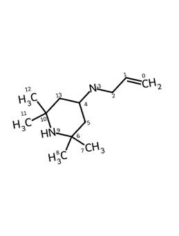 C=CC[N]C1CC(C)(C)NC(C)(C)C1